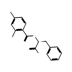 Cc1ccc(C(=O)N[C@@H](Cc2ccccc2)C(=O)O)c(C)c1